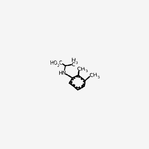 Cc1cccc(NC(C)C(=O)O)c1C